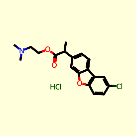 CC(C(=O)OCCN(C)C)c1ccc2c(c1)oc1ccc(Cl)cc12.Cl